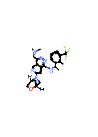 Cc1c(C(C)Nc2nnc(CN(C)C)c3cnc(N4C[C@H]5C[C@@H]4CO5)cc23)cccc1C(F)(F)F